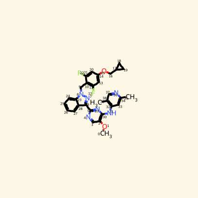 COc1cnc(-c2nn(Cc3c(F)cc(OCC4CC4)cc3F)c3ccccc23)nc1Nc1cc(C)ncc1C